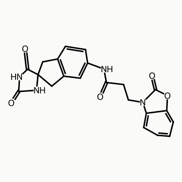 O=C(CCn1c(=O)oc2ccccc21)Nc1ccc2c(c1)CC1(C2)NC(=O)NC1=O